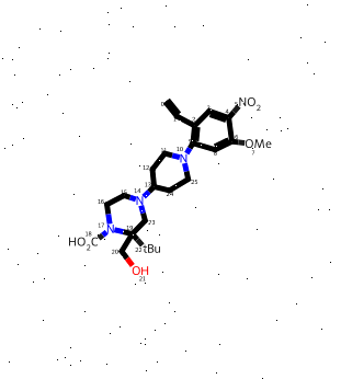 C=Cc1cc([N+](=O)[O-])c(OC)cc1N1CCC(N2CCN(C(=O)O)C(CO)(C(C)(C)C)C2)CC1